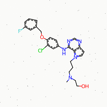 CN(CCO)CCCn1ccc2ncnc(Nc3ccc(OCc4cccc(F)c4)c(Cl)c3)c21